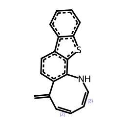 C=C1/C=C\C=C/Nc2c1ccc1c2sc2ccccc21